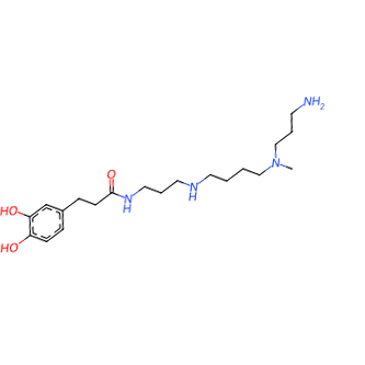 CN(CCCN)CCCCNCCCNC(=O)CCc1ccc(O)c(O)c1